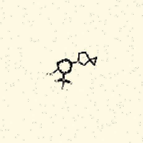 COc1ccc(N2CCC3(CC3)C2)cc1S(N)(=O)=O